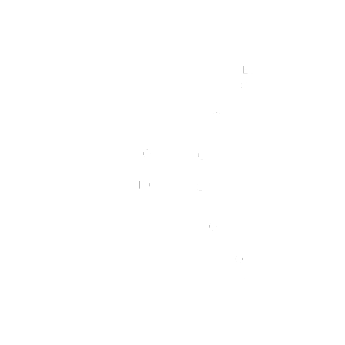 CCOCCOCCOC1CC(O)C(Oc2ccc3ccccc3c2)CC1OCCOCCOCC